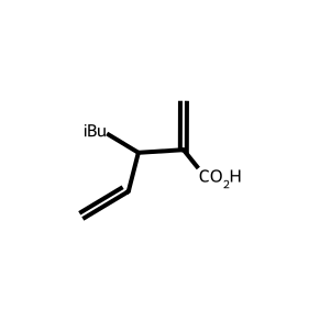 C=CC(C(=C)C(=O)O)C(C)CC